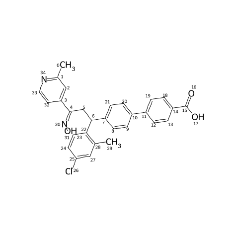 Cc1cc(/C(CC(c2ccc(-c3ccc(C(=O)O)cc3)cc2)c2ccc(Cl)cc2C)=N/O)ccn1